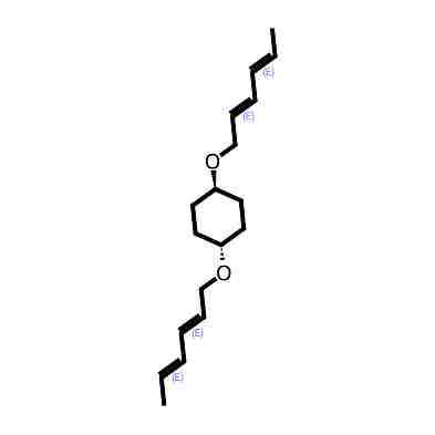 C/C=C/C=C/CO[C@H]1CC[C@H](OC/C=C/C=C/C)CC1